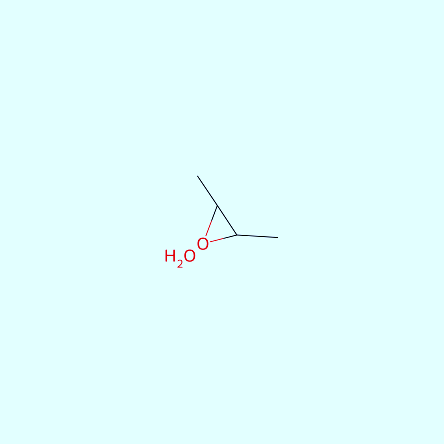 CC1OC1C.O